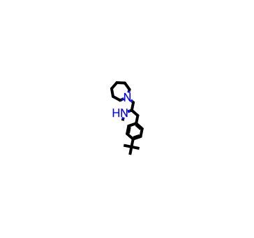 CNC(Cc1ccc(C(C)(C)C)cc1)CN1CCCCCC1